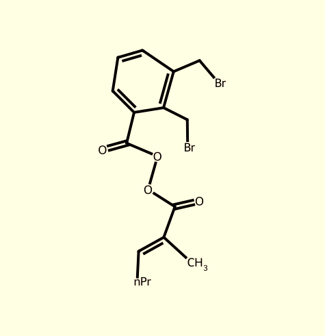 CCCC=C(C)C(=O)OOC(=O)c1cccc(CBr)c1CBr